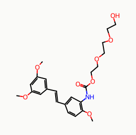 COc1cc(C=Cc2ccc(OC)c(NC(=O)OCCOCCOCCO)c2)cc(OC)c1